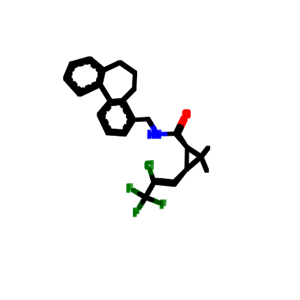 CC1(C)[C@H](C(=O)NCc2cccc3c2CCCc2ccccc2-3)[C@@H]1C=C(Cl)C(F)(F)F